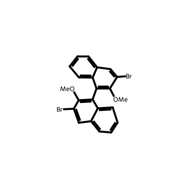 COc1c(Br)cc2ccccc2c1-c1c(OC)c(Br)cc2ccccc12